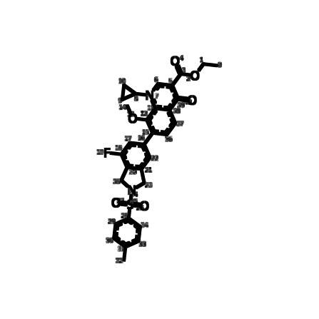 CCOC(=O)c1cn(C2CC2)c2c(OC)c(-c3cc(F)c4c(c3)CN(S(=O)(=O)c3ccc(C)cc3)C4)ccc2c1=O